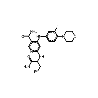 CC(C)CC(Nc1ncc(C(N)=O)c(Nc2ccc(N3CCOCC3)c(F)c2)n1)C(N)=O